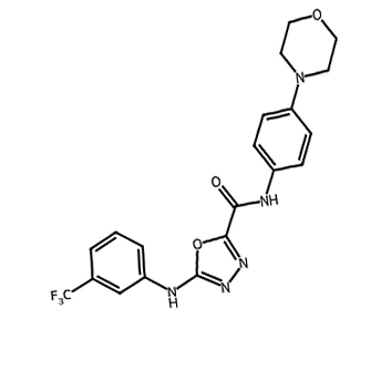 O=C(Nc1ccc(N2CCOCC2)cc1)c1nnc(Nc2cccc(C(F)(F)F)c2)o1